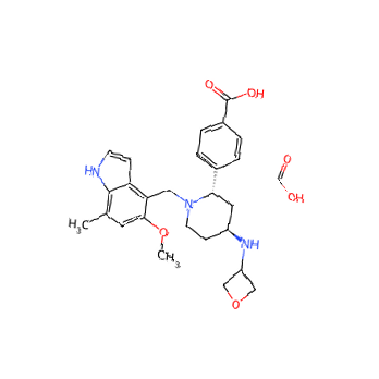 COc1cc(C)c2[nH]ccc2c1CN1CC[C@H](NC2COC2)C[C@H]1c1ccc(C(=O)O)cc1.O=CO